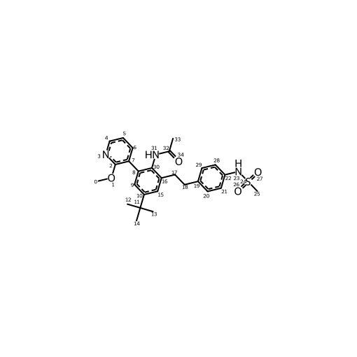 COc1ncccc1-c1cc(C(C)(C)C)cc(CCc2ccc(NS(C)(=O)=O)cc2)c1NC(C)=O